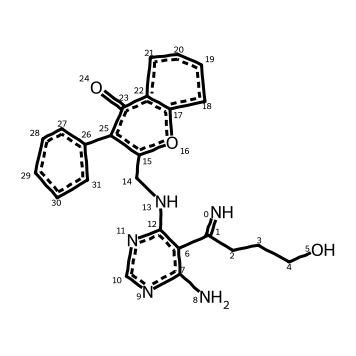 N=C(CCCO)c1c(N)ncnc1NCc1oc2ccccc2c(=O)c1-c1ccccc1